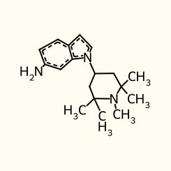 CN1C(C)(C)CC(n2ccc3ccc(N)cc32)CC1(C)C